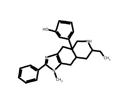 CCC1CC2Cc3c(nc(-c4ccccc4)n3C)CC2(c2cccc(O)c2)CN1